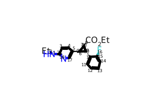 CCNc1ccc([C@H]2[C@H](C(=O)OCC)[C@@H]2c2ccccc2F)cn1